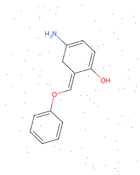 NC1=CC=C(O)C(=COc2ccccc2)C1